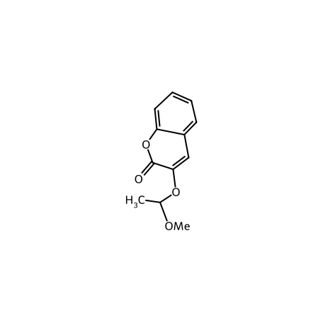 COC(C)Oc1cc2ccccc2oc1=O